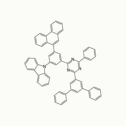 c1ccc(-c2cc(-c3ccccc3)cc(-c3nc(-c4ccccc4)nc(-c4cc(-c5cc6ccccc6c6ccccc56)cc(-n5c6ccccc6c6ccccc65)c4)n3)c2)cc1